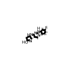 Oc1ccc(Nc2ccnc(Nc3cccc(F)c3)n2)cn1